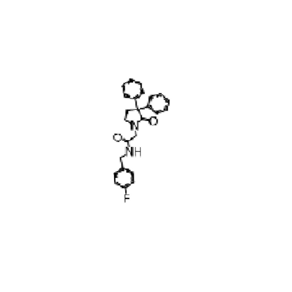 O=C(CN1CCC(c2ccccc2)(c2ccccc2)C1=O)NCc1ccc(F)cc1